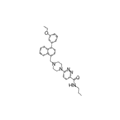 CCCNC(=O)c1ccc(N2CCN(Cc3ccc(-c4cccc(OCC)c4)c4ccccc34)CC2)nn1